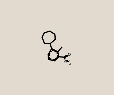 Cc1c(C(N)=O)cccc1C1CCCCCC1